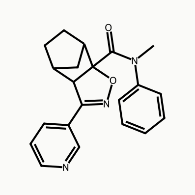 CN(C(=O)C12ON=C(c3cccnc3)C1C1CCC2C1)c1ccccc1